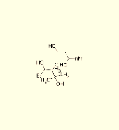 CCC(O)C(C)C(C)(C)O.CCCC(O)CCO